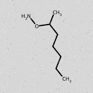 CCCCCC(C)ON